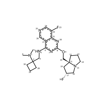 CN(C)C1(CNc2nc(OC[C@@]34CCCN3C[C@H](F)C4)nc3c(F)cncc23)CCC1